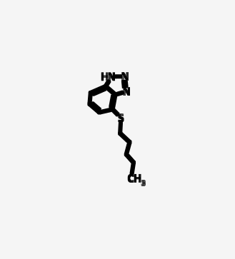 CCCCCSc1cccc2[nH]nnc12